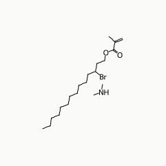 C=C(C)C(=O)OCCC(Br)CCCCCCCCCCC.CNC